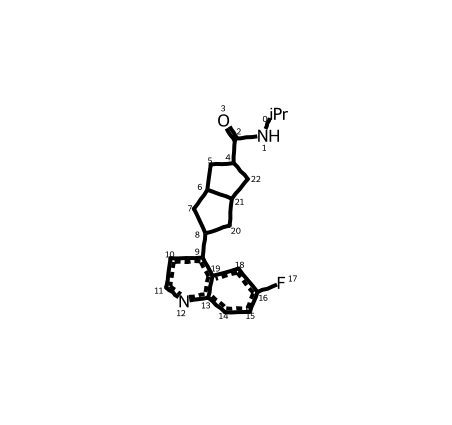 CC(C)NC(=O)C1CC2CC(c3ccnc4ccc(F)cc34)CC2C1